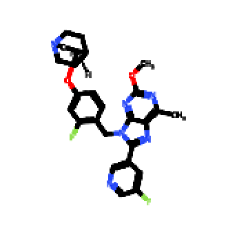 COc1nc(C)c2nc(-c3cncc(F)c3)n(Cc3ccc(O[C@H]4CN5CCC4CC5)cc3F)c2n1